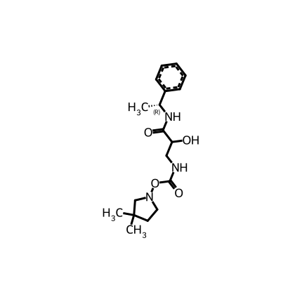 C[C@@H](NC(=O)C(O)CNC(=O)ON1CCC(C)(C)C1)c1ccccc1